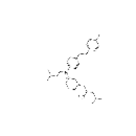 CC(C)CCN(c1ccc(CCc2ccc(F)cc2)cc1)[C@H]1CCCN(CC(N)CC(C)C)C1